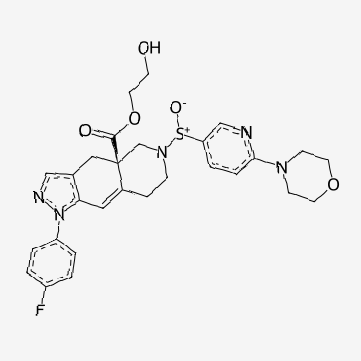 O=C(OCCO)[C@]12Cc3cnn(-c4ccc(F)cc4)c3C=C1CCN([S+]([O-])c1ccc(N3CCOCC3)nc1)C2